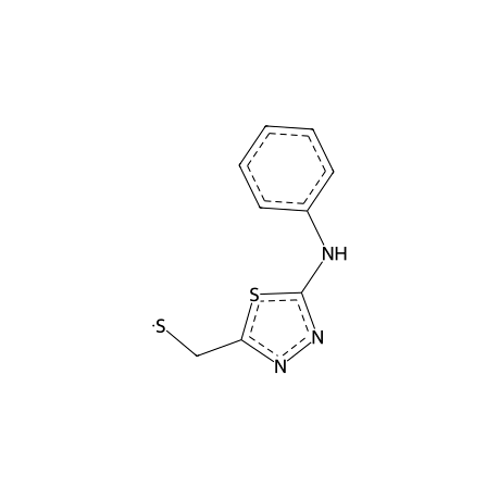 [S]Cc1nnc(Nc2ccccc2)s1